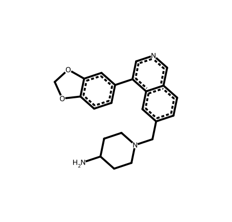 NC1CCN(Cc2ccc3cncc(-c4ccc5c(c4)OCO5)c3c2)CC1